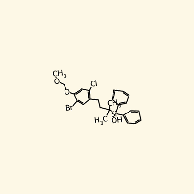 COCOc1cc(Cl)c(CCC(C)(C)[Si](O)(c2ccccc2)c2ccccc2)cc1Br